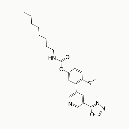 CCCCCCCCNC(=O)Oc1ccc(SC)c(-c2cncc(-c3nnco3)c2)c1